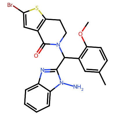 COc1ccc(C)cc1C(c1nc2ccccc2n1N)N1CCc2sc(Br)cc2C1=O